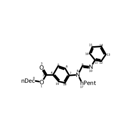 CCCCCCCCCCOC(=O)c1ccc(N(C=Nc2ccccc2)CCCCC)cc1